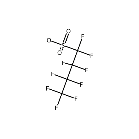 [O]S(=O)(=O)C(F)(F)C(F)(F)C(F)(F)C(F)(F)F